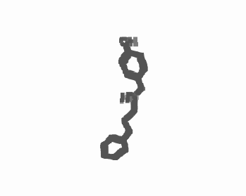 Oc1ccc(CNCCCc2ccccc2)cc1